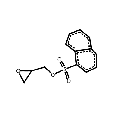 O=S(=O)(OCC1CO1)c1cccc2ccccc12